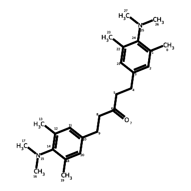 Cc1cc(CCC(=O)CCc2cc(C)c(N(C)C)c(C)c2)cc(C)c1N(C)C